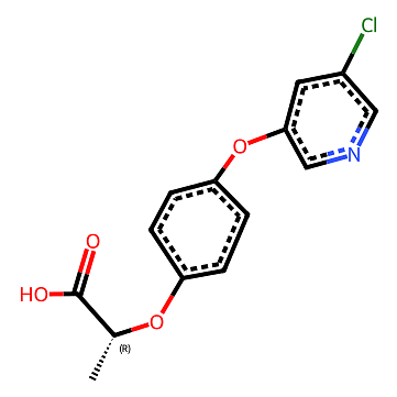 C[C@@H](Oc1ccc(Oc2cncc(Cl)c2)cc1)C(=O)O